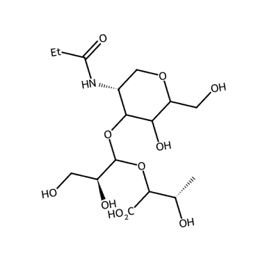 CCC(=O)N[C@@H]1COC(CO)C(O)C1OC(OC(C(=O)O)[C@H](C)O)[C@@H](O)CO